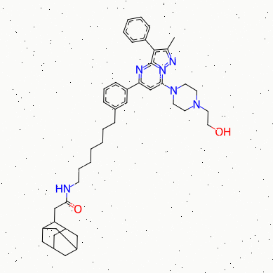 Cc1nn2c(N3CCN(CCO)CC3)cc(-c3cccc(CCCCCCCNC(=O)CC4C5CC6CC(C5)CC4C6)c3)nc2c1-c1ccccc1